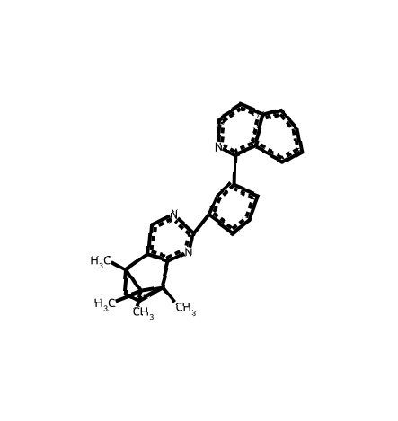 CC12CCC(C)(c3nc(-c4cccc(-c5nccc6ccccc56)c4)ncc31)C2(C)C